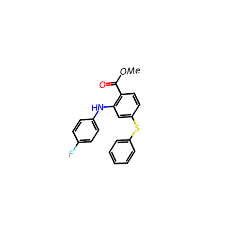 COC(=O)c1ccc(Sc2ccccc2)cc1Nc1ccc(F)cc1